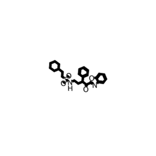 O=C(c1nc2ccccc2o1)C(CCNS(=O)(=O)CCC1CCCCC1)c1ccccc1